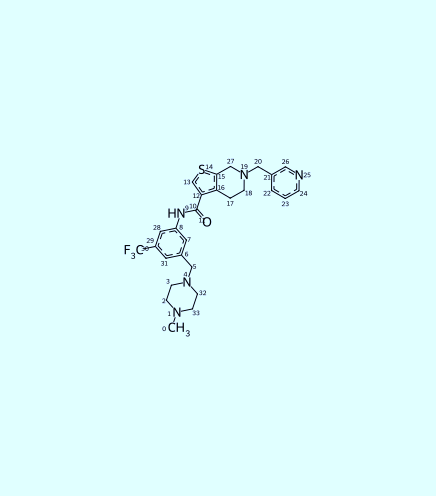 CN1CCN(Cc2cc(NC(=O)c3csc4c3CCN(Cc3cccnc3)C4)cc(C(F)(F)F)c2)CC1